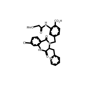 COCC(=O)Nc1cc(CN2C(=O)c3ccc(Cl)cc3NC(=O)C2Cc2ccccn2)ccc1C(=O)O